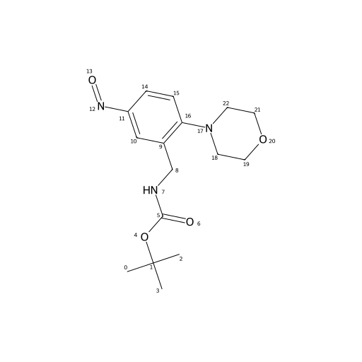 CC(C)(C)OC(=O)NCc1cc(N=O)ccc1N1CCOCC1